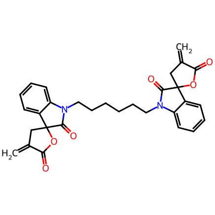 C=C1CC2(OC1=O)C(=O)N(CCCCCCN1C(=O)C3(CC(=C)C(=O)O3)c3ccccc31)c1ccccc12